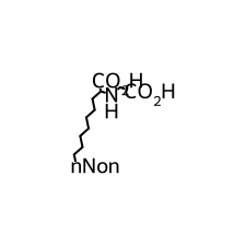 CCCCCCCCCCCCCCCCC(NCC(=O)O)C(=O)O